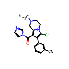 N#Cc1cccc(-c2c(C(=O)n3ccnc3)c3n(c2Cl)CCN(C(=O)O)C3)c1